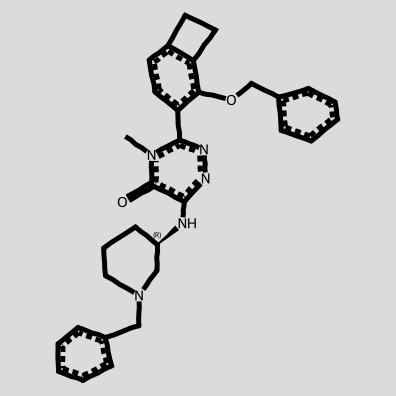 Cn1c(-c2ccc3c(c2OCc2ccccc2)CC3)nnc(N[C@@H]2CCCN(Cc3ccccc3)C2)c1=O